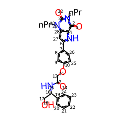 CCCn1c(=O)c2[nH]c(-c3ccc(OCC(=O)NC(CO)c4ccccc4)cc3)cc2n(CCC)c1=O